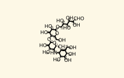 C[C@H]1OC(OC2C(CO)O[C@H](OC[C@@H](O)C(O)C(O)C(O)C=O)[C@H](O)C2O)C(O)[C@@H](O)C1NC1C=C(CO)[C@@H](O)C(O)[C@H]1O